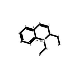 CCC1C=Cc2ccccc2N1CC